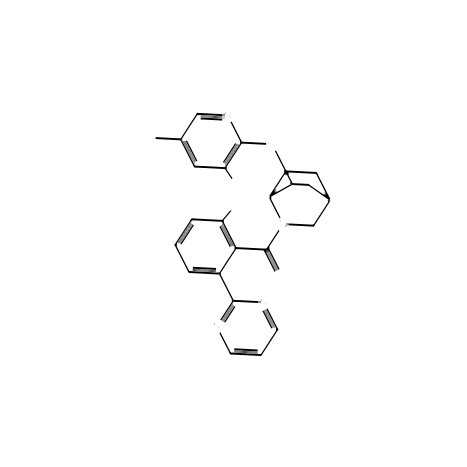 O=C(c1c(F)cccc1-c1ncccn1)N1CC2CCC1C(Oc1ncc(C(F)(F)F)cc1Cl)C2